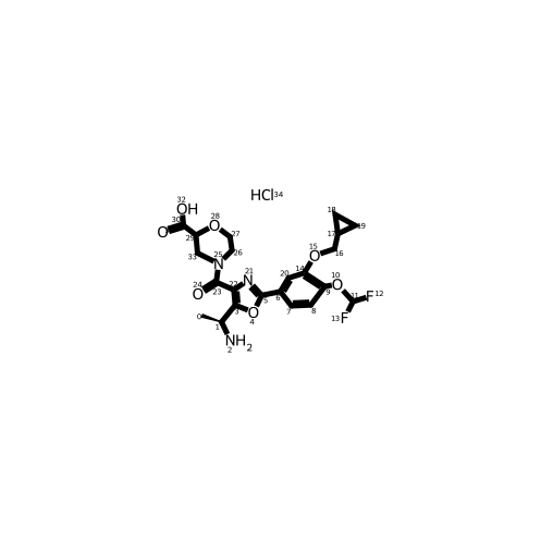 C[C@H](N)c1oc(-c2ccc(OC(F)F)c(OCC3CC3)c2)nc1C(=O)N1CCOC(C(=O)O)C1.Cl